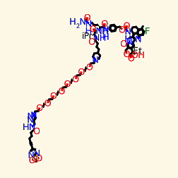 CC[C@@]1(O)C(=O)OCc2c1cc1n(c2=O)Cc2c-1nc1cc(F)c(C)c3c1c2[C@@H](NC(=O)OCc1ccc(NC(=O)[C@H](CCCNC(N)=O)NC(=O)[C@@H](NC(=O)CCCC2CCN(CCOCCOCCOCCOCCOCCOCCOCCOCCn4cc(CNC(=O)CCCC#Cc5cnc(S(C)(=O)=O)nc5)nn4)CC2)C(C)C)cc1)CC3